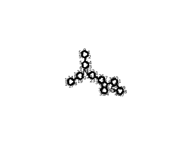 c1ccc(-c2ccc(N(c3ccc(-c4ccccc4)cc3)c3ccc(-c4ccc5c(c4)-c4ccccc4C5c4cccc5c4sc4ccccc45)cc3)cc2)cc1